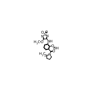 COC1=NS(=O)(=O)N=C1Nc1cccc(C(=O)N2CCC[C@H]2C)c1OO